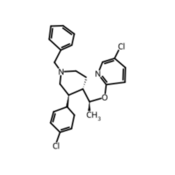 C[C@H](Oc1ccc(Cl)cn1)[C@H]1CCN(Cc2ccccc2)C[C@@H]1C1C=CC(Cl)=CC1